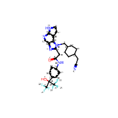 N#CCC1CCC(Cn2c(CC(=O)Nc3ccc(C(O)(C(F)(F)F)C(F)(F)F)cc3)nc3cnc4[nH]ccc4c32)CC1